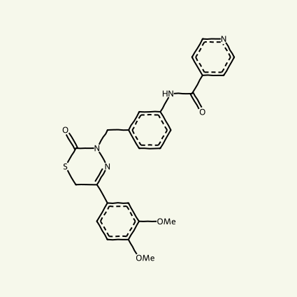 COc1ccc(C2=NN(Cc3cccc(NC(=O)c4ccncc4)c3)C(=O)SC2)cc1OC